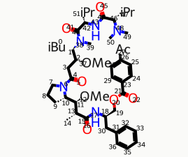 CC[C@H](C)[C@@H]([C@@H](CC(=O)N1CCC[C@H]1[C@H](OC)[C@@H](C)C(=O)N[C@@H](COC(=O)c1ccc(C(C)=O)cc1)Cc1ccccc1)OC)N(C)C(=O)[C@@H](NC(=O)[C@H](C(C)C)N(C)C)C(C)C